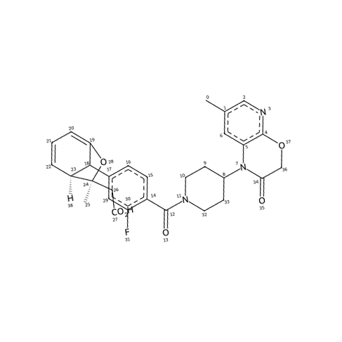 Cc1cnc2c(c1)N(C1CCN(C(=O)c3ccc(C4C5=CC=C[C@@H]4[C@](C)(CC(=O)O)O5)cc3F)CC1)C(=O)CO2